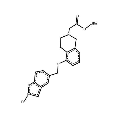 CC(C)n1cc2cc(COc3cccc4c3CCN(CC(=O)OC(C)(C)C)C4)ccc2n1